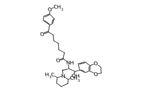 COc1ccc(C(=O)CCCCCC(=O)N[C@H](CN2C(C)CCCC2C)[C@H](O)c2ccc3c(c2)OCCO3)cc1